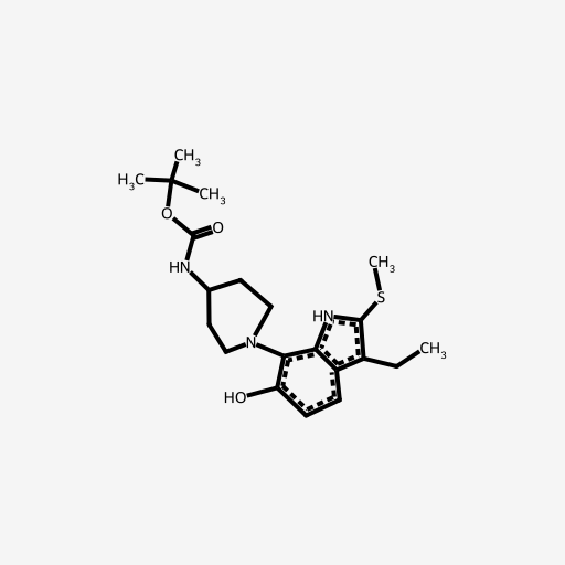 CCc1c(SC)[nH]c2c(N3CCC(NC(=O)OC(C)(C)C)CC3)c(O)ccc12